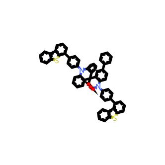 c1ccc(-c2ccc3c(c2)C2(c4ccccc4N(c4ccc(-c5cccc6c5sc5ccccc56)cc4)c4ccccc42)c2ccccc2N3c2ccc(-c3cccc4sc5ccccc5c34)cc2)cc1